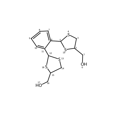 OCC1CSC(c2ccccc2C2SCC(CO)S2)S1